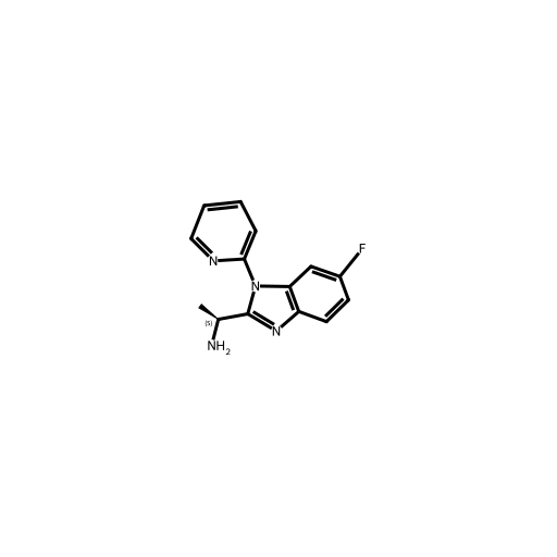 C[C@H](N)c1nc2ccc(F)cc2n1-c1ccccn1